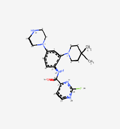 CC1(C)CCN(c2cc(N3CCNCC3)ccc2NC(=O)c2ccnc(F)n2)CC1